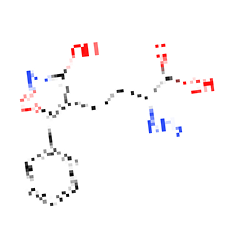 NC(CCc1c(O)noc1-c1ccccc1)C(=O)O